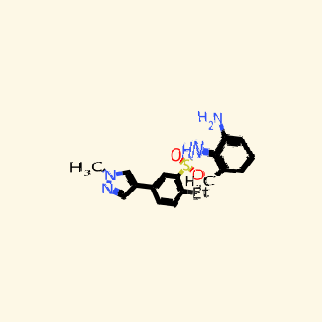 CCc1ccc(-c2cnn(C)c2)cc1S(=O)(=O)Nc1c(C)cccc1N